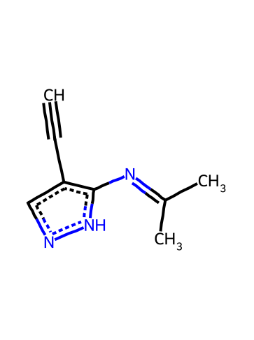 C#Cc1cn[nH]c1N=C(C)C